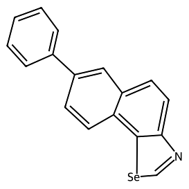 c1ccc(-c2ccc3c(ccc4nc[se]c43)c2)cc1